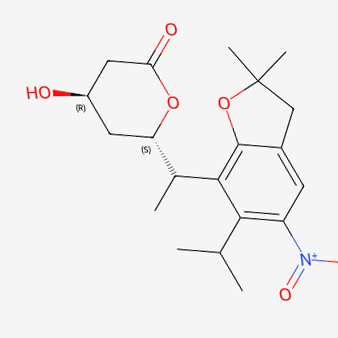 CC(C)c1c([N+](=O)[O-])cc2c(c1C(C)[C@@H]1C[C@@H](O)CC(=O)O1)OC(C)(C)C2